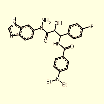 CCN(CC)c1ccc(C(=O)NC(c2ccc(C(C)C)cc2)C(O)C(=O)N(N)c2ccc3nc[nH]c3c2)cc1